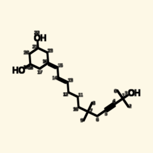 CC(C)(O)C#CCC(C)(C)CCC/C=C/C=C1CC(O)CC(O)C1